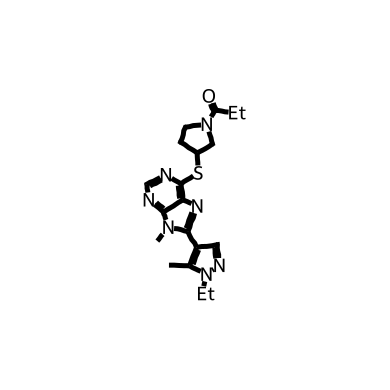 CCC(=O)N1CCC(Sc2ncnc3c2nc(-c2cnn(CC)c2C)n3C)C1